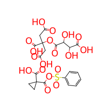 O=C(O)C1(C(=O)OS(=O)(=O)c2ccccc2)CC1.O=C(O)CC(CC(=O)O)(OC(=O)C(O)C(O)C(=O)O)C(=O)O